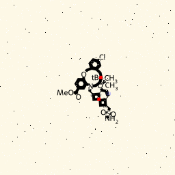 COC(=O)c1ccc2c(c1)N(C[C@@H]1CC[C@H]1C(/C=C\[C@H]1CC[C@@H]1CS(N)(=O)=O)O[Si](C)(C)C(C)(C)C)CCCCc1cc(Cl)ccc1CO2